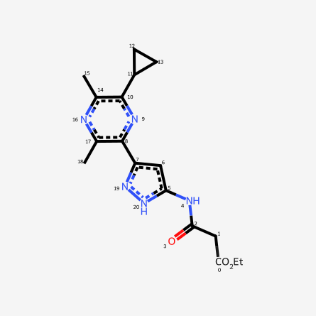 CCOC(=O)CC(=O)Nc1cc(-c2nc(C3CC3)c(C)nc2C)n[nH]1